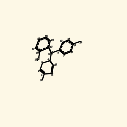 CC1=CCC(N(c2ccc(C)cc2)c2ccccc2F)C=C1